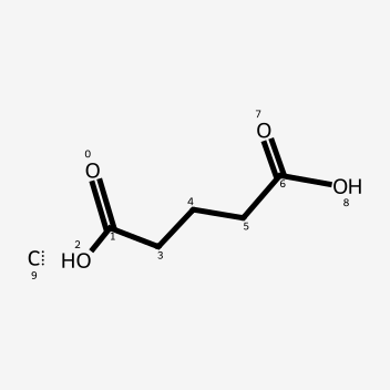 O=C(O)CCCC(=O)O.[C]